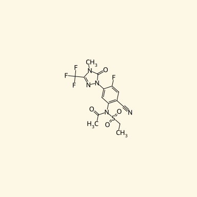 CCS(=O)(=O)N(C(C)=O)c1cc(-n2nc(C(F)(F)F)n(C)c2=O)c(F)cc1C#N